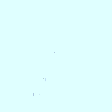 Cc1ccc2c(n1)CCN(CCC1CCCCC1)CC2